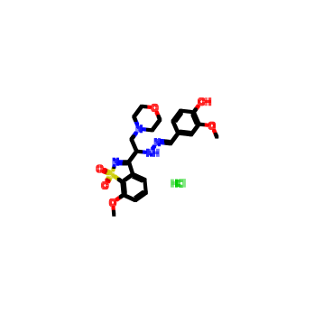 COc1cc(/C=N/NC(CN2CCOCC2)C2=NS(=O)(=O)c3c(OC)cccc32)ccc1O.Cl